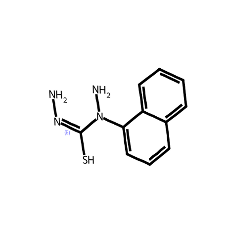 N/N=C(/S)N(N)c1cccc2ccccc12